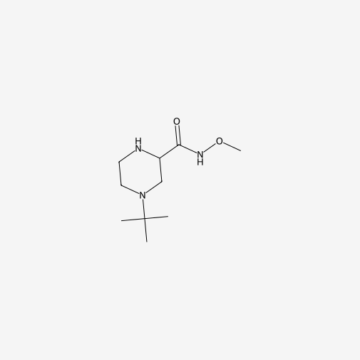 CONC(=O)C1CN(C(C)(C)C)CCN1